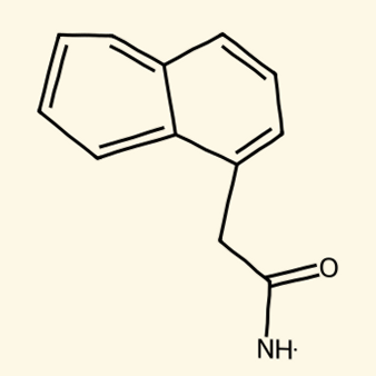 [NH]C(=O)Cc1cccc2ccccc12